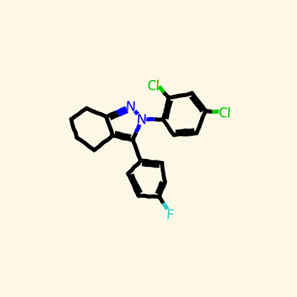 Fc1ccc(-c2c3c(nn2-c2ccc(Cl)cc2Cl)CCCC3)cc1